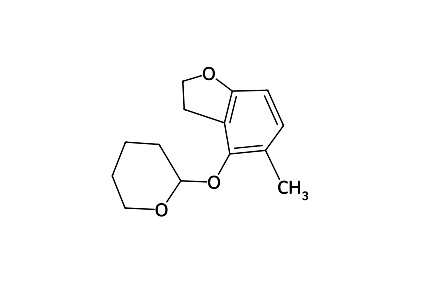 Cc1ccc2c(c1OC1CCCCO1)CCO2